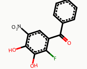 O=C(c1ccccc1)c1cc([N+](=O)[O-])c(O)c(O)c1F